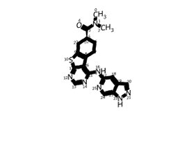 CN(C)C(=O)[C@H]1CCc2c(sc3ncnc(Nc4cc5cn[nH]c5cn4)c23)C1